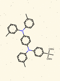 CO[Si](C)(OC)c1ccc(N(c2ccc(N(c3cccc(C)c3)c3cccc(C)c3)cc2)c2cccc(C)c2)cc1